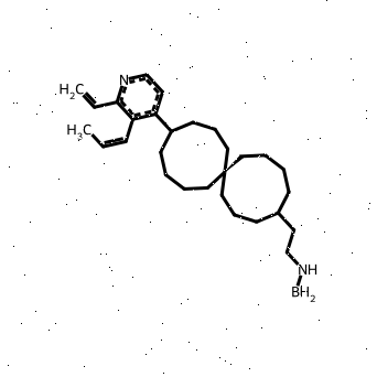 BNCCC1CCCC[C@]2(CCCCC(c3ccnc(C=C)c3/C=C\C)CCC2)CCC1